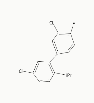 CC(C)c1ccc(Cl)cc1-c1ccc(F)c(Cl)c1